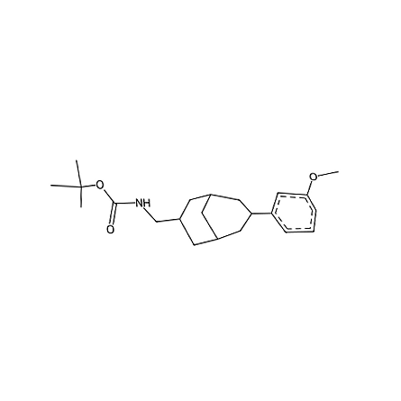 COc1cccc(C2CC3CC(CNC(=O)OC(C)(C)C)CC(C3)C2)c1